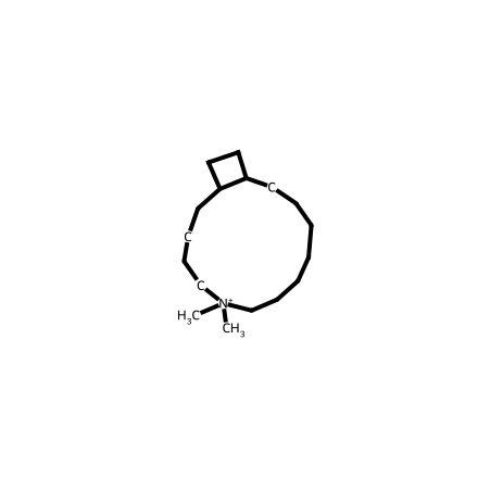 C[N+]1(C)CCCCCCCC2CCC2CCCC1